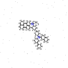 CN(c1ccc(-c2ccc(N(c3cccc(-c4ccccc4)c3)c3ccc4ccccc4c3)cc2)cc1)c1ccc2c3cccc4cccc(c5cccc1c52)c43